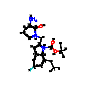 CC(C)Cc1cc(F)cc2cc(Cn3cccc(N)c3=O)n(C(=O)OC(C)(C)C)c12